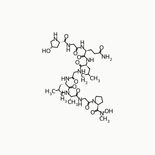 CC(C)C[C@H](NC(=O)CNC(=O)[C@H](CC(C)C)NC(=O)[C@H](CCC(N)=O)NC(=O)CNC(=O)[C@@H]1C[C@@H](O)CN1)C(=O)N[C@@H](C)C(=O)NCC(=O)N1CCC[C@H]1C(=O)N(C)O